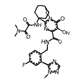 CN(C)C(=O)C(=O)NC12CCC(CC1)Cn1c2nc(C(=O)NCc2ccc(F)cc2-c2ncnn2C)c(O)c1=O